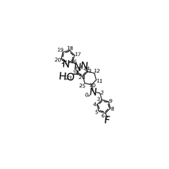 CN(Cc1ccc(F)cc1)C1CCc2nn(-c3ccccn3)c(O)c2C1